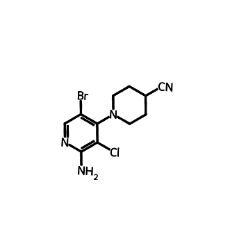 N#CC1CCN(c2c(Br)cnc(N)c2Cl)CC1